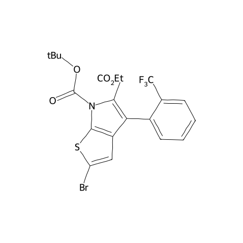 CCOC(=O)c1c(-c2ccccc2C(F)(F)F)c2cc(Br)sc2n1C(=O)OC(C)(C)C